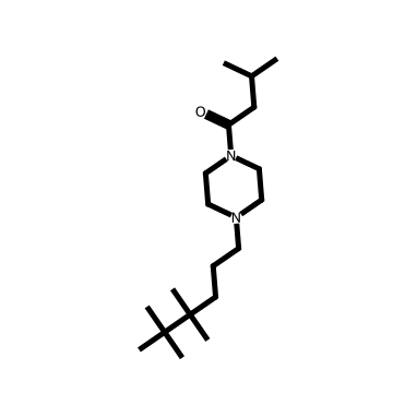 CC(C)CC(=O)N1CCN(CCCC(C)(C)C(C)(C)C)CC1